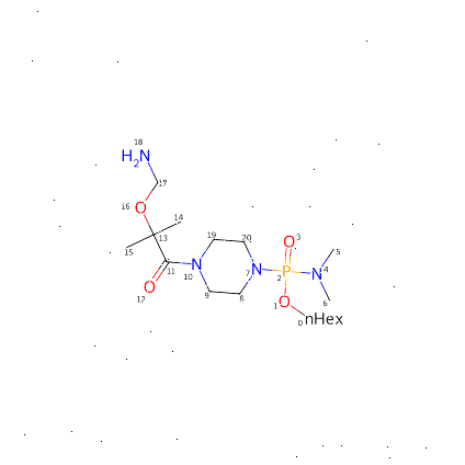 CCCCCCOP(=O)(N(C)C)N1CCN(C(=O)C(C)(C)OCN)CC1